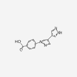 O=C(O)c1ccc(-n2cc(-c3cn[nH]c3)cn2)cc1